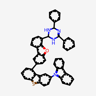 c1ccc(C2=NC(c3ccccc3)NC(c3cccc4c3oc3ccc(-c5cccc6sc7ccc(-n8c9ccccc9c9ccccc98)cc7c56)cc34)N2)cc1